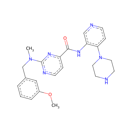 COc1cccc(CN(C)c2nccc(C(=O)Nc3cnccc3N3CCNCC3)n2)c1